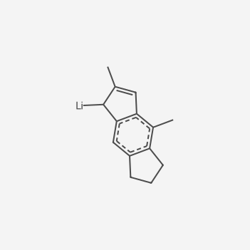 [Li][CH]1C(C)=Cc2c1cc1c(c2C)CCC1